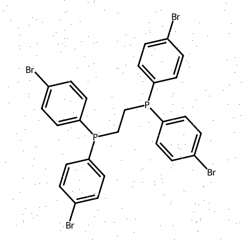 Brc1ccc(P(CCP(c2ccc(Br)cc2)c2ccc(Br)cc2)c2ccc(Br)cc2)cc1